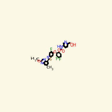 COc1cnc2c(-c3nc4cc(F)c(O[C@H]5CC(F)(F)CC[C@H]5OC(=O)Nc5ccc(CO)nc5)cc4s3)cc(C)cc2n1